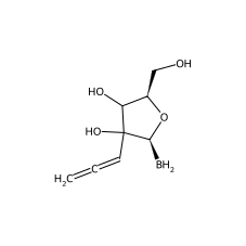 B[C@@H]1O[C@H](CO)C(O)C1(O)C=C=C